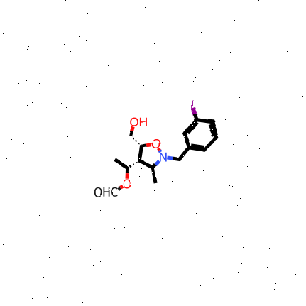 CC(OC=O)[C@H]1C(C)N(Cc2cccc(I)c2)O[C@H]1CO